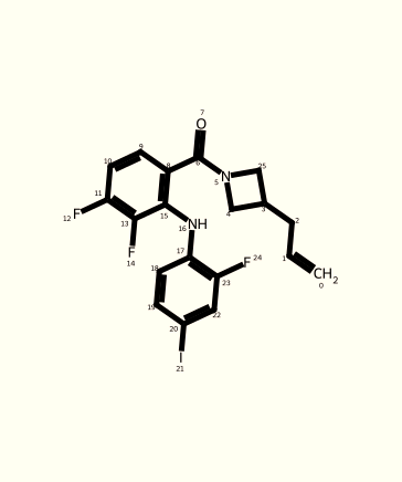 C=CCC1CN(C(=O)c2ccc(F)c(F)c2Nc2ccc(I)cc2F)C1